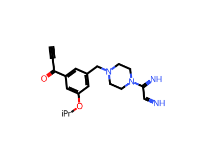 C#CC(=O)c1cc(CN2CCN(C(=N)C=N)CC2)cc(OC(C)C)c1